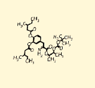 CCC(C)CC(=O)Oc1ccc(C[C@H](N)C(=O)O[C@@H](C)C(C)OC(=O)OC(C)(C)C)cc1OC(=O)CC(C)CC